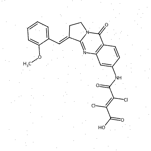 COc1ccccc1C=C1CCn2c1nc1cc(NC(=O)C(Cl)=C(Cl)C(=O)O)ccc1c2=O